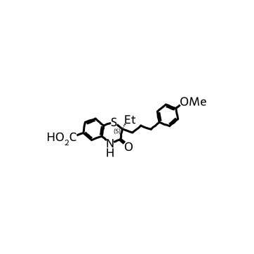 CC[C@@]1(CCCc2ccc(OC)cc2)Sc2ccc(C(=O)O)cc2NC1=O